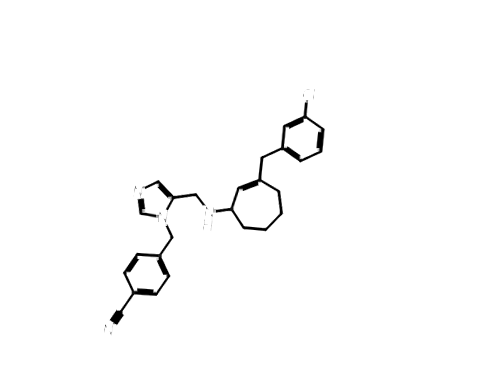 N#Cc1ccc(Cn2cncc2CNC2C=C(Cc3cccc(Cl)c3)CCCC2)cc1